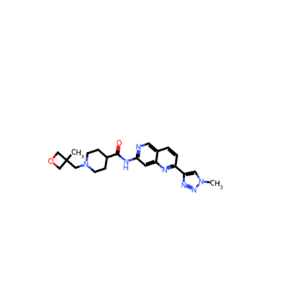 Cn1cc(-c2ccc3cnc(NC(=O)C4CCN(CC5(C)COC5)CC4)cc3n2)nn1